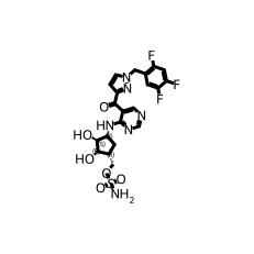 NS(=O)(=O)OC[C@H]1C[C@@H](Nc2ncncc2C(=O)c2ccn(Cc3cc(F)c(F)cc3F)n2)[C@H](O)[C@@H]1O